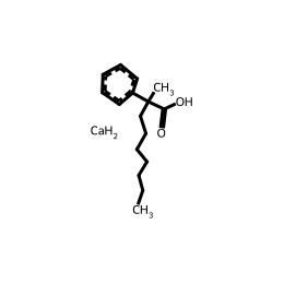 CCCCCCCC(C)(C(=O)O)c1ccccc1.[CaH2]